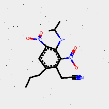 CCCc1cc([N+](=O)[O-])c(NC(C)C)c([N+](=O)[O-])c1CC#N